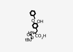 CC(C)(C)OC(=O)NC(Cc1ccc(OCc2ccccc2)c(O)c1)C(=O)O